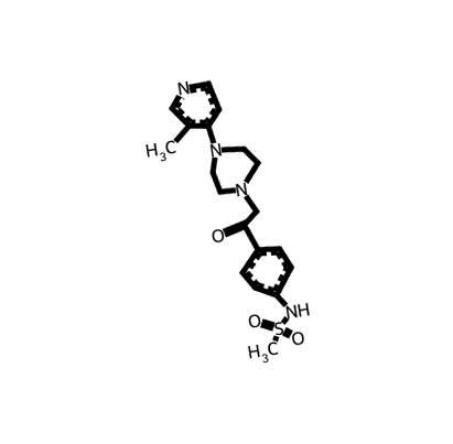 Cc1cnccc1N1CCN(CC(=O)c2ccc(NS(C)(=O)=O)cc2)CC1